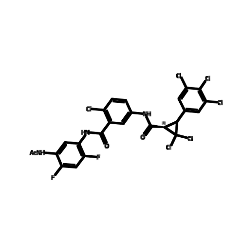 CC(=O)Nc1cc(NC(=O)c2cc(NC(=O)[C@H]3C(c4cc(Cl)c(Cl)c(Cl)c4)C3(Cl)Cl)ccc2Cl)c(F)cc1F